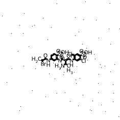 C=C(Br)C(=O)Nc1ccc(S(=O)(=O)O)c(/N=N/C(=C(\O)Nc2cc(Cl)c(S(=O)(=O)O)cc2Cl)C(C)N)c1